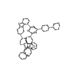 c1ccc(-c2ccc(-c3nc(-c4ccc5c(c4)oc4ccccc45)nc(-c4cccc5sc6ccc(-c7ccc8c(c7)c7ccccc7n8-c7ccccc7)cc6c45)n3)cc2)cc1